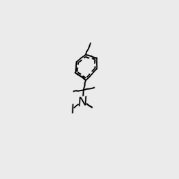 Cc1ccc(C(C)(C)N(C)I)cc1